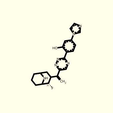 C=C(c1cnc(-c2ccc(-n3ccnc3)cc2O)nn1)C1CC2CCCC(N2)[C@H]1F